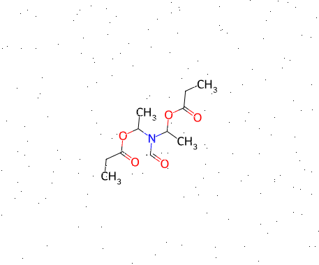 CCC(=O)OC(C)N([C]=O)C(C)OC(=O)CC